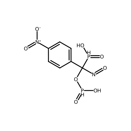 O=NC(O[PH](=O)O)(c1ccc([N+](=O)[O-])cc1)[PH](=O)O